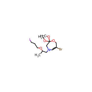 COC1(OC)CN(CC(C)OCCCI)C=C(Br)CO1